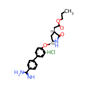 CCCOC(=O)C[C@@H]1C[C@@H](COc2ccc(-c3ccc(C(=N)N)cc3)cc2)NC1=O.Cl